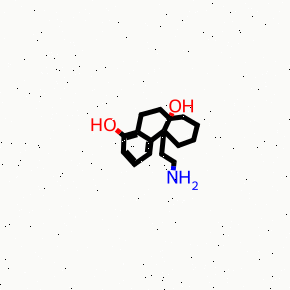 NCCC12CCCCC1(O)CCc1c(O)cccc12